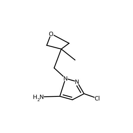 CC1(Cn2nc(Cl)cc2N)COC1